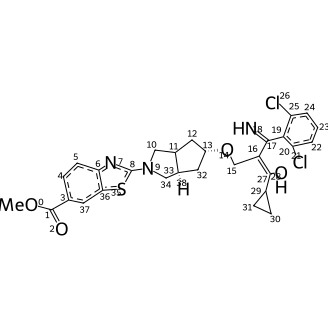 COC(=O)c1ccc2nc(N3CC4C[C@H](OC/C(C(=N)c5c(Cl)cccc5Cl)=C(/O)C5CC5)C[C@H]4C3)sc2c1